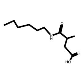 CCCCCCNC(=O)C(C)CC(=O)O